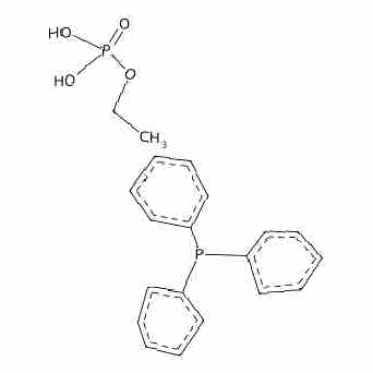 CCOP(=O)(O)O.c1ccc(P(c2ccccc2)c2ccccc2)cc1